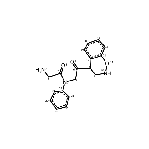 NCC(=O)N(CC(=O)C1CNOc2ccccc21)c1ccccc1